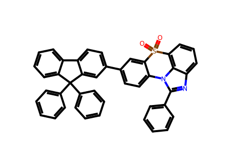 O=S1(=O)c2cc(-c3ccc4c(c3)C(c3ccccc3)(c3ccccc3)c3ccccc3-4)ccc2-n2c(-c3ccccc3)nc3cccc1c32